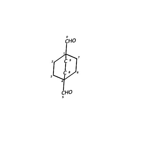 O=CC12CCC(C=O)(CC1)CC2